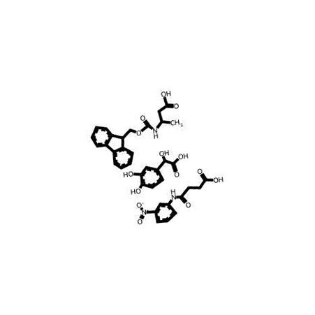 CC(CC(=O)O)NC(=O)OCC1c2ccccc2-c2ccccc21.O=C(O)C(O)c1ccc(O)c(O)c1.O=C(O)CCC(=O)Nc1cccc([N+](=O)[O-])c1